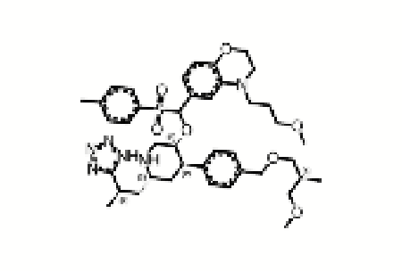 COCCCN1CCOc2ccc(C(O[C@H]3CN[C@@H](C[C@@H](C)c4nnn[nH]4)C[C@@H]3c3ccc(COC[C@@H](C)COC)cc3)S(=O)(=O)c3ccc(C)cc3)cc21